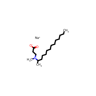 CCCCCCCCCCCCC(C)N(C)CCC(=O)[O-].[Na+]